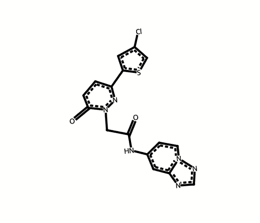 O=C(Cn1nc(-c2cc(Cl)cs2)ccc1=O)Nc1ccn2ncnc2c1